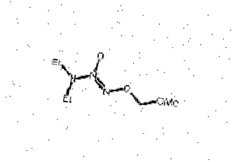 CCN(CC)[N+]([O-])=NO[CH]OC